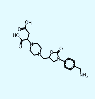 NCc1ccc(N2CC(CN3CCN(C(CC(=O)O)C(=O)O)CC3)OC2=O)cc1